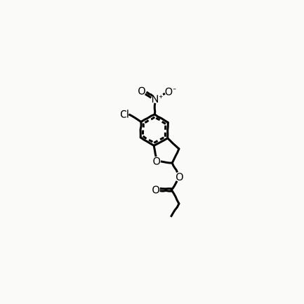 CCC(=O)OC1Cc2cc([N+](=O)[O-])c(Cl)cc2O1